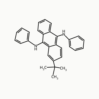 CC(C)(C)c1ccc2c(Nc3ccccc3)c3ccccc3c(Nc3ccccc3)c2c1